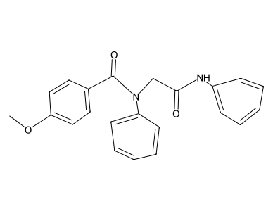 COc1ccc(C(=O)N(CC(=O)Nc2ccccc2)c2ccccc2)cc1